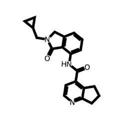 O=C(Nc1cccc2c1C(=O)N(CC1CC1)C2)c1ccnc2c1CCC2